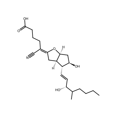 CCCCC(C)[C@H](O)/C=C/[C@@H]1[C@H]2C/C(=C(\C#N)CCCC(=O)O)O[C@H]2C[C@H]1O